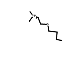 CCCCSCC=[PH](C)C